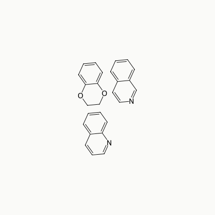 c1ccc2c(c1)OCCO2.c1ccc2cnccc2c1.c1ccc2ncccc2c1